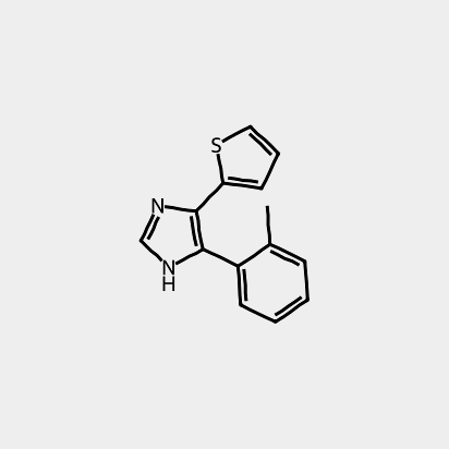 Cc1ccccc1-c1[nH]cnc1-c1cccs1